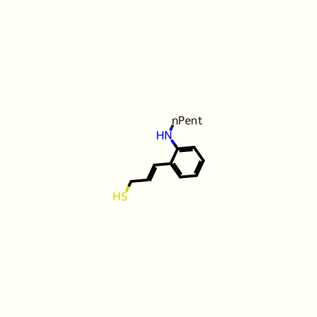 CCCCCNc1ccccc1C=CCS